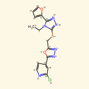 CCn1c(SCc2nnc(-c3ccnc(Cl)c3)o2)nnc1-c1ccco1